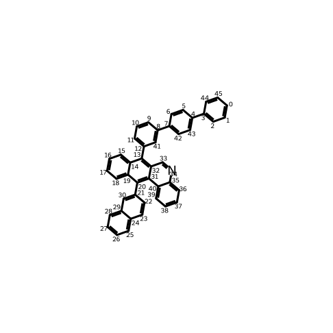 c1ccc(-c2ccc(-c3cccc(-c4c5ccccc5c(-c5ccc6ccccc6c5)c5c4cnc4ccccc45)c3)cc2)cc1